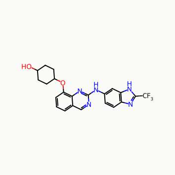 OC1CCC(Oc2cccc3cnc(Nc4ccc5nc(C(F)(F)F)[nH]c5c4)nc23)CC1